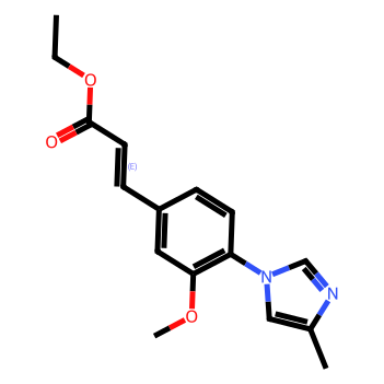 CCOC(=O)/C=C/c1ccc(-n2cnc(C)c2)c(OC)c1